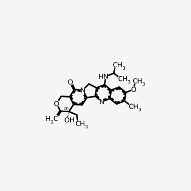 C=C1OCc2c(cc3n(c2=O)Cc2c-3nc3cc(C)c(OC)cc3c2NC(C)C)[C@@]1(O)CC